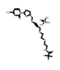 Nc1ccn([C@H]2CC[C@@H](COC#CCOCCOCCNC(=O)C(F)(F)F)O2)c(=O)n1.O=P(O)(O)O